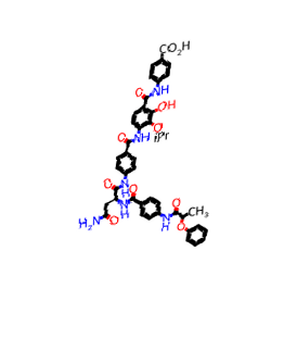 CC(C)Oc1c(NC(=O)c2ccc(NC(=O)[C@H](CC(N)=O)NC(=O)c3ccc(NC(=O)C(C)Oc4ccccc4)cc3)cc2)ccc(C(=O)Nc2ccc(C(=O)O)cc2)c1O